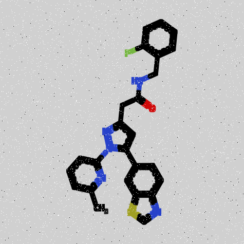 Cc1cccc(-n2nc(CC(=O)NCc3ccccc3F)cc2-c2ccc3ncsc3c2)n1